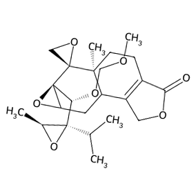 COCO[C@H]([C@@]1(C(C)C)O[C@H]1C)[C@]12OC1CC1C3=C(CC[C@]1(C)[C@]21CO1)C(=O)OC3